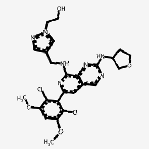 COc1cc(OC)c(Cl)c(-c2cc3cnc(NC4CCOC4)nc3c(NCc3cnn(CCO)c3)n2)c1Cl